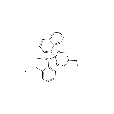 CCC1COC(c2cccc3ccccc23)(c2cccc3ccccc23)OC1